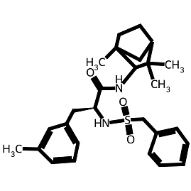 Cc1cccc(C[C@H](NS(=O)(=O)Cc2ccccc2)C(=O)NC2C3(C)CCC(C3)C2(C)C)c1